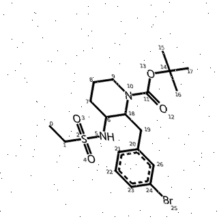 CCS(=O)(=O)NC1CCCN(C(=O)OC(C)(C)C)C1Cc1cccc(Br)c1